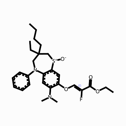 CCCCC1(CC)CN(c2ccccc2)c2cc(N(C)C)c(O/C=C(\F)C(=O)OCC)cc2[S+]([O-])C1